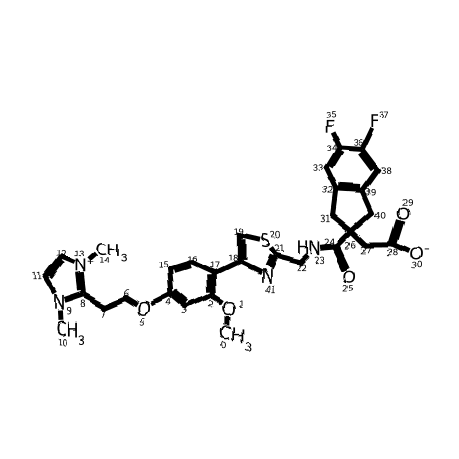 COc1cc(OCCc2n(C)cc[n+]2C)ccc1-c1csc(CNC(=O)C2(CC(=O)[O-])Cc3cc(F)c(F)cc3C2)n1